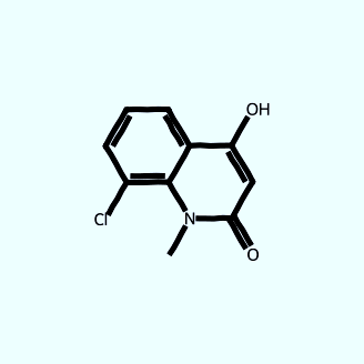 Cn1c(=O)cc(O)c2cccc(Cl)c21